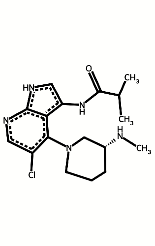 CN[C@@H]1CCCN(c2c(Cl)cnc3[nH]cc(NC(=O)C(C)C)c23)C1